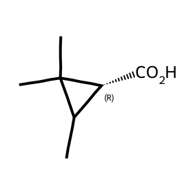 CC1[C@@H](C(=O)O)C1(C)C